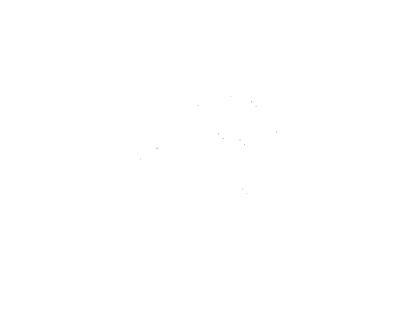 CN(C(=N)N)C(=O)c1cc2c(Cl)ccc(OCc3ccccc3N)c2[nH]1.CS(=O)(=O)O.CS(=O)(=O)O